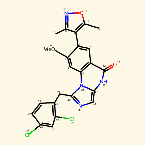 COc1cc2c(cc1-c1c(C)noc1C)c(=O)[nH]c1cnc(Cc3ccc(Cl)cc3Cl)n12